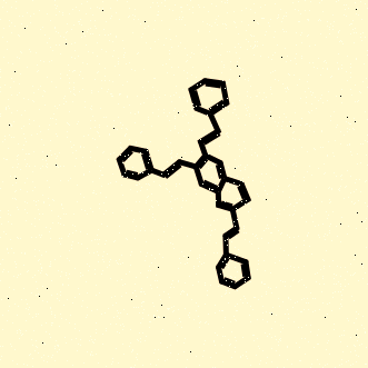 C(=Cc1ccc2cc(C=Cc3ccccc3)c(C=Cc3ccccc3)cc2c1)c1ccccc1